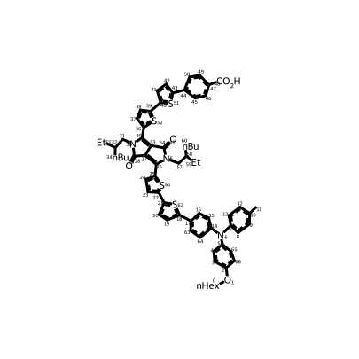 CCCCCCOc1ccc(N(c2ccc(C)cc2)c2ccc(-c3ccc(-c4ccc(C5=C6C(=O)N(CC(CC)CCCC)C(c7ccc(-c8ccc(-c9ccc(C(=O)O)cc9)s8)s7)=C6C(=O)N5CC(CC)CCCC)s4)s3)cc2)cc1